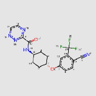 N#Cc1ccc(O[C@H]2CC[C@H](NC(=O)c3nccnn3)CC2)cc1C(F)(F)F